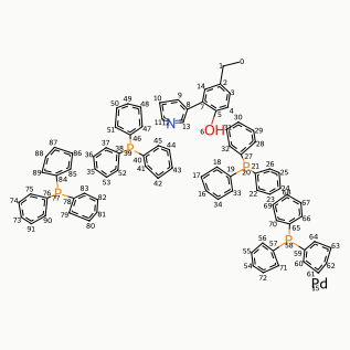 CCc1ccc(O)c(-c2cccnc2)c1.[Pd].c1ccc(P(c2ccccc2)c2ccccc2)cc1.c1ccc(P(c2ccccc2)c2ccccc2)cc1.c1ccc(P(c2ccccc2)c2ccccc2)cc1.c1ccc(P(c2ccccc2)c2ccccc2)cc1